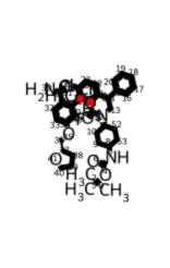 CC(C)(C)OC(=O)NC1CCC(N(CC(c2ccccc2)c2ccc(Cl)c(-c3c(C(N)=O)ccc(OC[C@H]4CCCO4)c3F)c2)C(=O)OC(C)(C)C)CC1